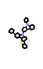 C1=CC2C(C=C1n1c3cc(-c4ccccc4)ccc3c3c4sc5ccccc5c4ccc31)c1ccccc1N2c1ccccc1